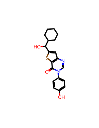 O=c1c2sc(C(O)C3CCCCC3)cc2ncn1-c1ccc(O)cc1